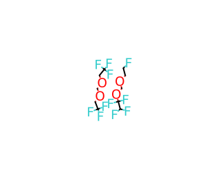 FC(F)(F)COCOCC(F)(F)F.FCCOCOC(F)(F)C(F)F